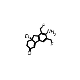 CCC12CCC(=O)C=C1c1cc(CF)c(N)c(CF)c1C2